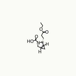 CCOC(=O)CC[C@@H]1[C@@H]2C[C@@H]2CN1C(=O)O